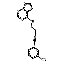 N#Cc1cccc(C#CCCNc2ncnc3sccc23)c1